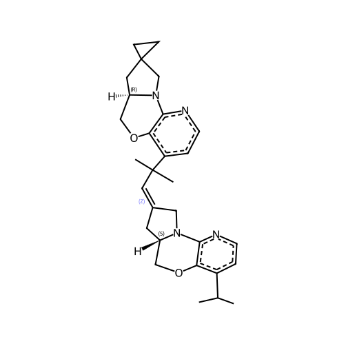 CC(C)c1ccnc2c1OC[C@@H]1C/C(=C/C(C)(C)c3ccnc4c3OC[C@H]3CC5(CC5)CN43)CN21